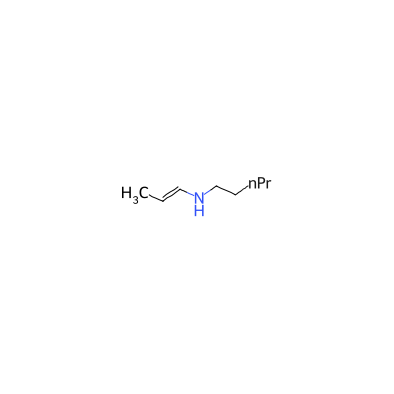 CC=CNCCCCC